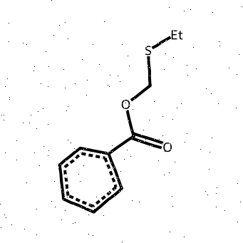 CCSCOC(=O)c1ccccc1